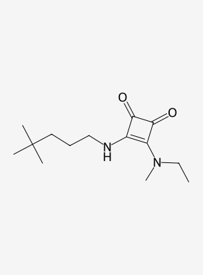 CCN(C)c1c(NCCCC(C)(C)C)c(=O)c1=O